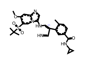 COc1cc2ncc(N/C=C(\C=N)c3cc(C(=O)NC4CC4)ccc3C)n2cc1S(=O)(=O)C(C)(C)C